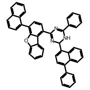 c1ccc(C2=NC(c3ccc(-c4cccc5ccccc45)c4oc5ccccc5c34)=NC(c3ccc(-c4ccccc4)c4ccccc34)N2)cc1